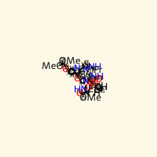 CC[C@@H]1C[C@]1(NC(=O)[C@@H]1C[C@@H](Oc2cc(-c3csc(NC(C)C)n3)nc3cc(OCC(OC)OC)ccc23)CN1C(=O)C(NC(=O)O[C@@H]1C[C@@H]2C[C@@H]2C1)C(C)(C)C)C(=O)OC